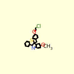 COc1ccc2c(c1)C1(Cc3ccc(OCCCl)cc3)CSc3ccccc3C1=N2